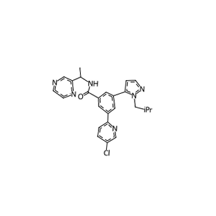 CC(C)Cn1nccc1-c1cc(C(=O)NC(C)c2cnccn2)cc(-c2ccc(Cl)cn2)c1